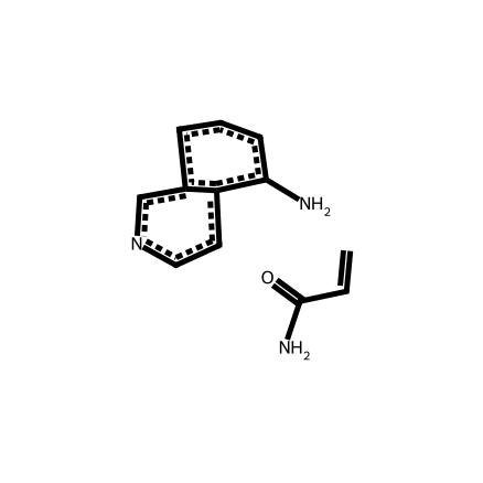 C=CC(N)=O.Nc1cccc2cnccc12